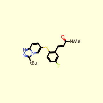 CNC(=O)/C=C/c1cc(F)ccc1Sc1ccc2nnc(C(C)(C)C)n2c1